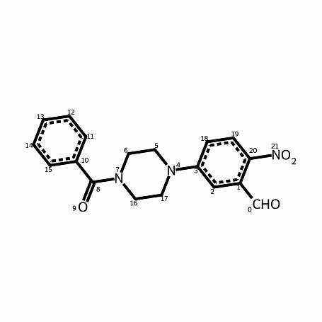 O=Cc1cc(N2CCN(C(=O)c3ccccc3)CC2)ccc1[N+](=O)[O-]